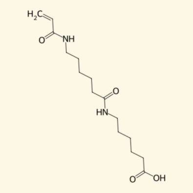 C=CC(=O)NCCCCCC(=O)NCCCCCC(=O)O